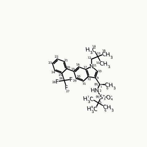 C[C@@H](N[S@@+]([O-])C(C)(C)C)c1cn(CC(C)(C)C)c2cc(-c3ccccc3C(F)(F)F)ccc12